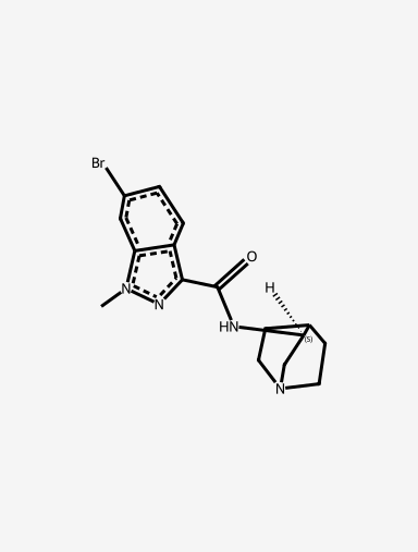 Cn1nc(C(=O)N[C@@H]2CN3CCC2CC3)c2ccc(Br)cc21